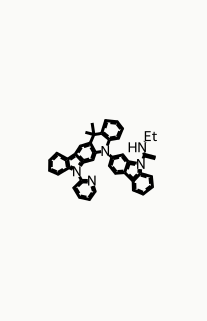 C=C(NCC)n1c2ccccc2c2ccc(N3c4ccccc4C(C)(C)c4cc5c6ccccc6n(-c6ccccn6)c5cc43)cc21